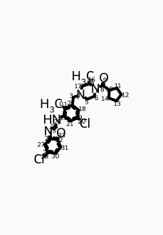 Cc1c(CN2CCN(C(=O)C3CCCC3)[C@@H](C)C2)cc(Cl)cc1Nc1nc2cc(Cl)ccc2o1